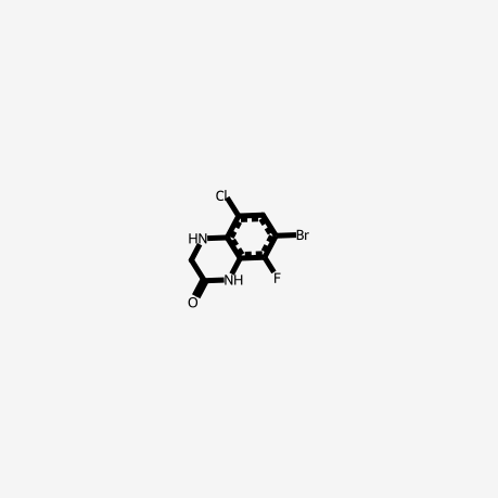 O=C1CNc2c(Cl)cc(Br)c(F)c2N1